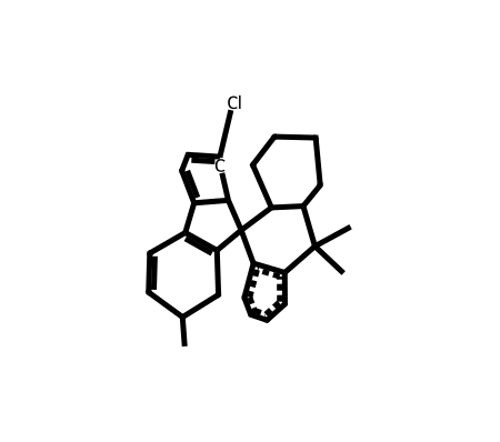 CC1C=CC2=C(C1)C1(c3ccccc3C(C)(C)C3CCCCC31)C1CC(Cl)=CC=C21